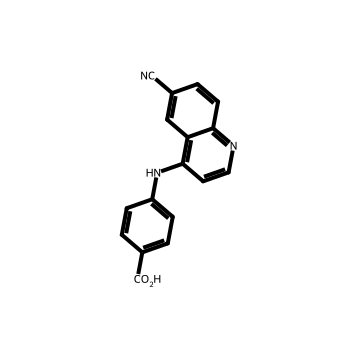 N#Cc1ccc2nccc(Nc3ccc(C(=O)O)cc3)c2c1